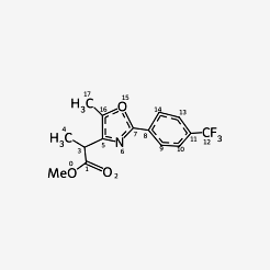 COC(=O)C(C)c1nc(-c2ccc(C(F)(F)F)cc2)oc1C